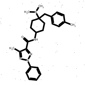 Cc1ccc(CC2(N(C)C)CCC(NC(=O)c3nn(-c4ccccc4)nc3C)CC2)cc1